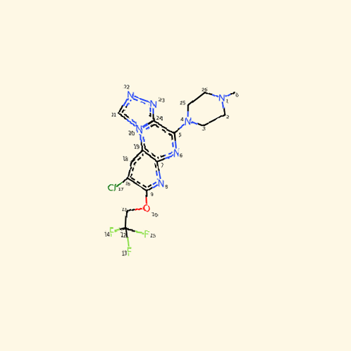 CN1CCN(c2nc3nc(OCC(F)(F)F)c(Cl)cc3n3cnnc23)CC1